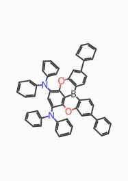 c1ccc(-c2ccc3c(c2)Oc2c(N(c4ccccc4)c4ccccc4)cc(N(c4ccccc4)c4ccccc4)c4c2B3c2ccc(-c3ccccc3)cc2O4)cc1